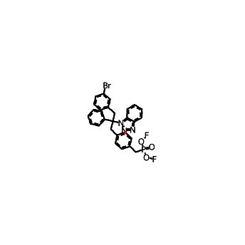 O=P(Cc1ccc(CC(Cc2cccc(Br)c2)(c2ccccc2)n2nnc3ccccc32)cc1)(OF)OF